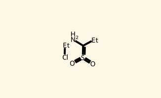 CCC(N)=S(=O)=O.CCCl